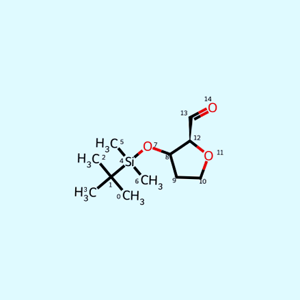 CC(C)(C)[Si](C)(C)OC1CCO[C@@H]1C=O